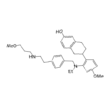 CCN(Cc1ccc(CCNCCCOC)cc1)c1cc(OC)ccc1C1CCc2cc(O)ccc2C1